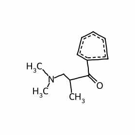 CC(CN(C)C)C(=O)c1ccccc1